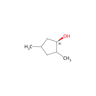 CC1CC(C)[C@H](O)C1